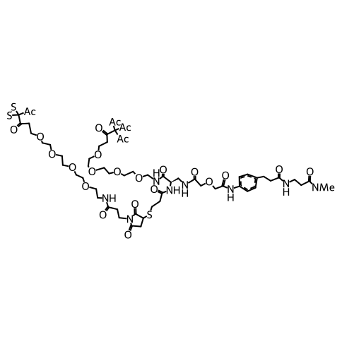 CNC(=O)CCNC(=O)CCc1ccc(NC(=O)COCC(=O)NC[C@@H](NC(=O)CCSC2CC(=O)N(CCC(=O)NCCOCCOCCOCCOCCC(=O)C3(C(C)=O)SS3)C2=O)C(=O)NCOCCOCCOCCOCCC(=O)C(C(C)=O)(C(C)=O)C(C)=O)cc1